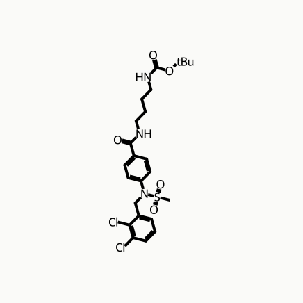 CC(C)(C)OC(=O)NCCCCNC(=O)c1ccc(N(Cc2cccc(Cl)c2Cl)S(C)(=O)=O)cc1